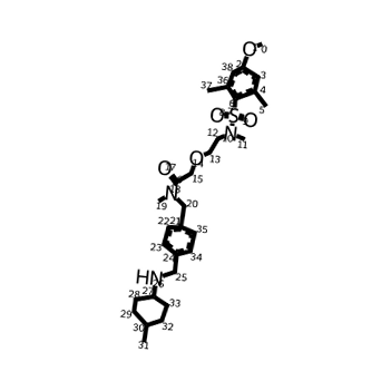 COc1cc(C)c(S(=O)(=O)N(C)CCOCC(=O)N(C)Cc2ccc(CNC3CCC(C)CC3)cc2)c(C)c1